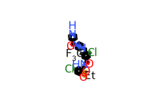 CCS(=O)(=O)c1ccc(Cl)cc1CNC(=O)c1cc(Cl)c(CN2CCN(C(=O)C3CCNCC3)CC2)c(C(F)(F)F)c1